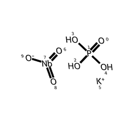 O=P(O)(O)O.[K+].[O]=[Nb](=[O])[O-]